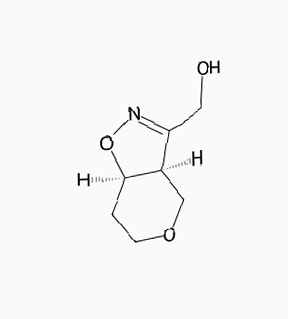 OCC1=NO[C@@H]2CCOC[C@H]12